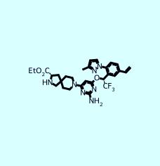 C=Cc1ccc(-n2ccc(C)n2)c([C@@H](Oc2cc(N3CCC4(CC3)CN[C@H](C(=O)OCC)C4)nc(N)n2)C(F)(F)F)c1